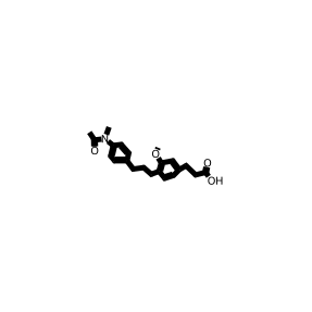 COc1cc(CCC(=O)O)ccc1CCCc1ccc(N(C)C(C)=O)cc1